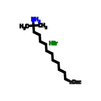 Br.CCCCCCCCCCCCCCCCCCCCCC(C)(C)N